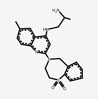 Cc1ccc2nc(N3CCS(=O)(=O)c4ccccc4C3)cc(NCC(C)N)c2c1